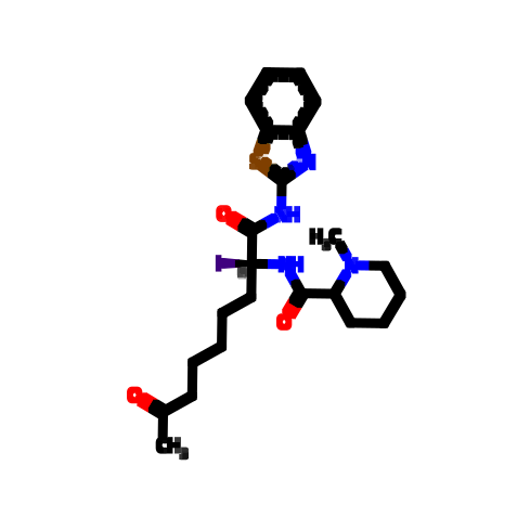 CC(=O)CCCCC[C@@](I)(NC(=O)C1CCCCN1C)C(=O)Nc1nc2ccccc2s1